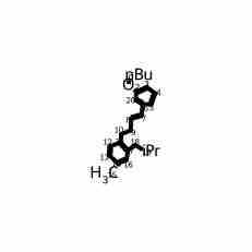 CCCCOc1cccc(/C=C/CCc2ccc(C)cc2CC(C)C)c1